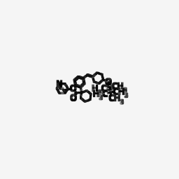 CC(C)(C)[Si](C)(C)OC1CCC(=Cc2cccc(C3(C(=O)OC4CN5CCC4CC5)CCCCC3)c2)CC1